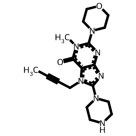 CC#CCn1c(N2CCNCC2)nc2nc(N3CCOCC3)n(C)c(=O)c21